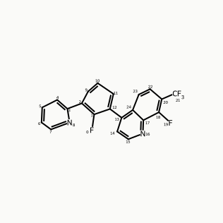 Fc1c(-c2ccccn2)cccc1-c1ccnc2c(F)c(C(F)(F)F)ccc12